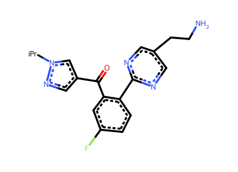 CC(C)n1cc(C(=O)c2cc(F)ccc2-c2ncc(CCN)cn2)cn1